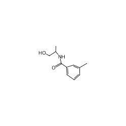 Cc1cccc(C(=O)NC(C)CO)c1